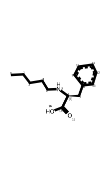 CCCCCN[C@@H](Cc1ccccc1)C(=O)O